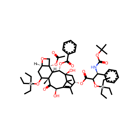 CC[Si](CC)(CC)OC(C(=O)O[C@H]1C[C@@]2(O)[C@@H](OC(=O)c3ccccc3)[C@@H]3[C@]4(OC(C)=O)CO[C@@H]4CC(O[Si](CC)(CC)CC)[C@@]3(C)C(=O)[C@H](O)C(=C1C)C2(C)C)[C@@H](NC(=O)OC(C)(C)C)c1ccccc1